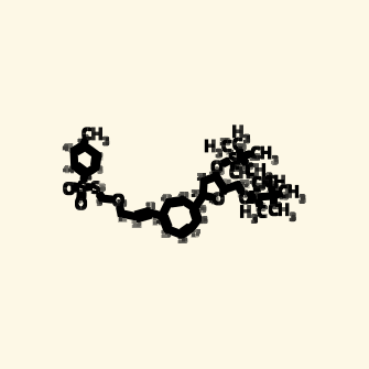 Cc1ccc(S(=O)(=O)SCOCC#CC2=C/C=C\C=C(C3CC(O[Si](C)(C)C(C)(C)C)C(CO[Si](C)(C)C(C)(C)C)O3)/C=C\2)cc1